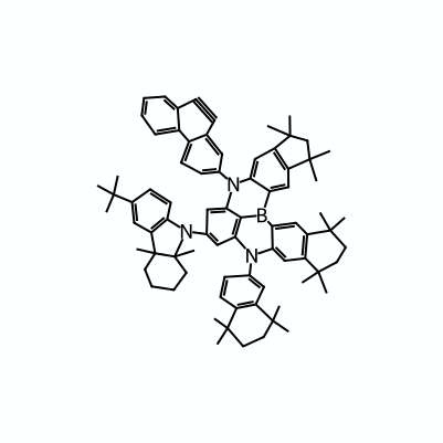 CC(C)(C)c1ccc2c(c1)C1(C)CCCCC1(C)N2c1cc2c3c(c1)N(c1ccc4c(c#cc5ccccc54)c1)c1cc4c(cc1B3c1cc3c(cc1N2c1ccc2c(c1)C(C)(C)CCC2(C)C)C(C)(C)CCC3(C)C)C(C)(C)CC4(C)C